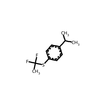 CC(C)c1ccc(SC(C)(F)F)cc1